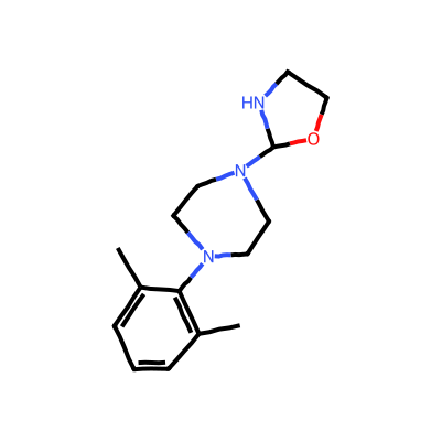 Cc1cccc(C)c1N1CCN(C2NCCO2)CC1